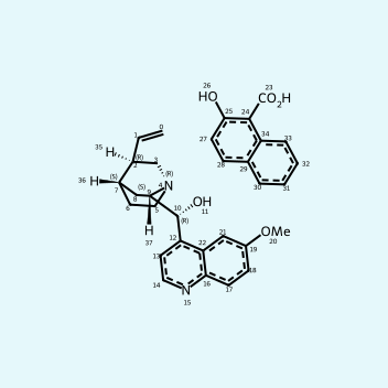 C=C[C@H]1C[N@]2CC[C@H]1C[C@H]2[C@H](O)c1ccnc2ccc(OC)cc12.O=C(O)c1c(O)ccc2ccccc12